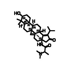 CC(C)C1=C2[C@H]3CC[C@@H]4[C@@]5(C)CC[C@H](O)C(C)(C)[C@@H]5CC[C@@]4(C)[C@]3(C)CC[C@@]2(NC(=O)C(C)N(C)C)CC1=O